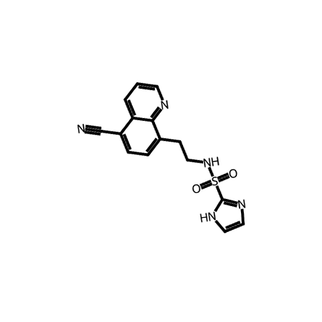 N#Cc1ccc(CCNS(=O)(=O)c2ncc[nH]2)c2ncccc12